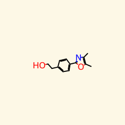 Cc1nc(-c2ccc(CCO)cc2)oc1C